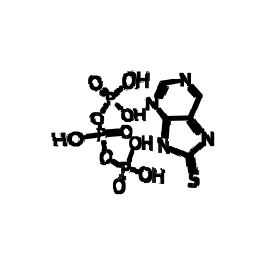 O=P(O)(O)OP(=O)(O)OP(=O)(O)O.S=C1N=c2cncnc2=N1